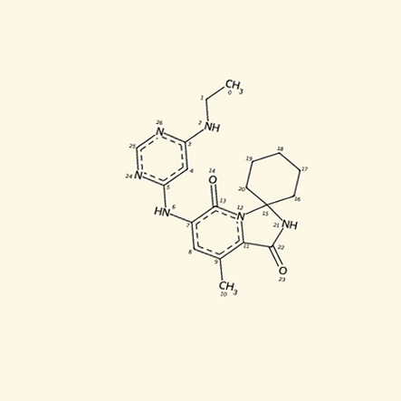 CCNc1cc(Nc2cc(C)c3n(c2=O)C2(CCCCC2)NC3=O)ncn1